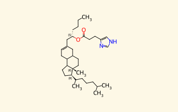 CCCC[C@@H](CC1=CCC2C(CC[C@@]3(C)C2CC[C@@H]3C(C)CCCC(C)C)C1)OC(=O)CCc1c[nH]cn1